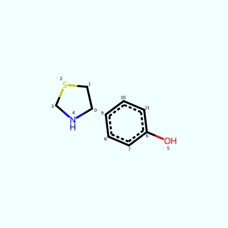 C1CSCN1.Oc1ccccc1